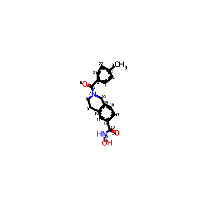 Cc1ccc(C(=O)N2CCc3cc(C(=O)NO)ccc3C2)cc1